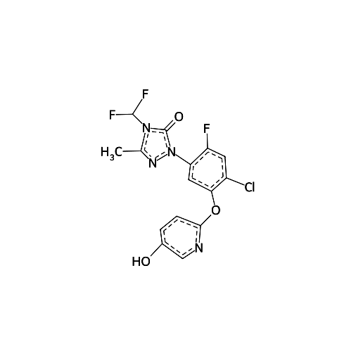 Cc1nn(-c2cc(Oc3ccc(O)cn3)c(Cl)cc2F)c(=O)n1C(F)F